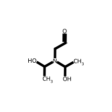 CC(O)N(C[C]=O)C(C)O